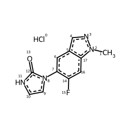 Cl.Cn1ncc2cc(-n3cc[nH]c3=O)c(F)cc21